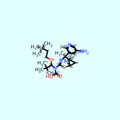 CC(C)(C)C(OCC[Si](C)(C)C)N(C(=O)O)C1=N[C@](C)(c2cc(N)cnc2F)[C@@H]2C[C@@H]2S1